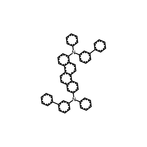 c1ccc(-c2cccc(N(c3ccccc3)c3ccc4c(ccc5c6cccc(N(c7ccccc7)c7cccc(-c8ccccc8)c7)c6ccc45)c3)c2)cc1